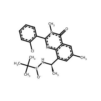 Cc1cc([C@@H](C)N[S+]([O-])C(C)(C)C)c2nc(-c3ccccc3Cl)n(C)c(=O)c2c1